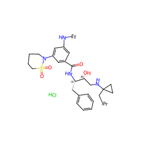 CCNc1cc(C(=O)N[C@@H](Cc2ccccc2)[C@H](O)CNC2(CC(C)C)CC2)cc(N2CCCCS2(=O)=O)c1.Cl